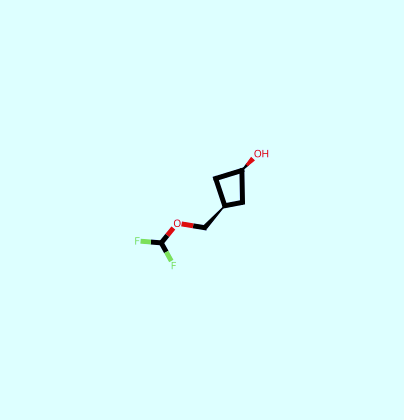 O[C@H]1C[C@@H](COC(F)F)C1